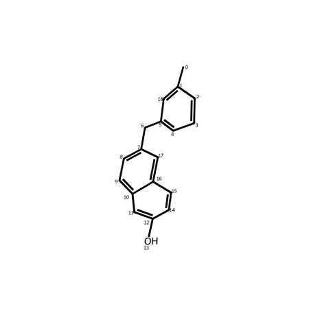 Cc1cccc(Cc2ccc3cc(O)ccc3c2)c1